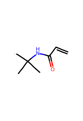 [CH2]C(C)(C)NC(=O)C=C